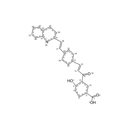 O=C(O)c1ccc(O)c(C(=O)C=Cc2ccc(C=Cc3ccc4ccccc4n3)cc2)c1